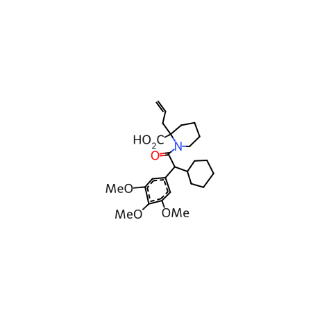 C=CCC1(C(=O)O)CCCCN1C(=O)C(c1cc(OC)c(OC)c(OC)c1)C1CCCCC1